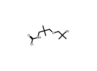 CCC(=O)NCC(C)(C)COCC(C)(C)C(C)C